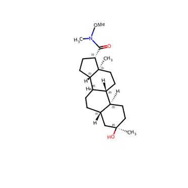 CON(C)C(=O)[C@H]1CC[C@H]2[C@@H]3CC[C@H]4C[C@](C)(O)CC[C@@H]4[C@H]3CC[C@]12C